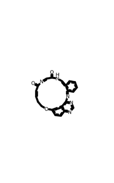 O=C1/C=C\CCOc2ccc3ncnc(c3c2)/N=c2/cccc/c2=C/NC(=O)/C=N\1